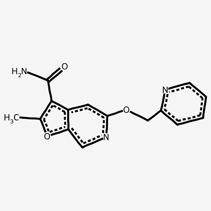 Cc1oc2cnc(OCc3ccccn3)cc2c1C(N)=O